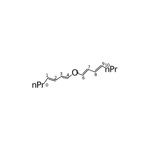 CCCC=CC=COC=CC=CCCC